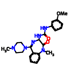 COc1cccc(NC(=O)N[C@@H]2N=C(N3CCN(C)CC3)c3ccccc3N(C)C2=O)c1